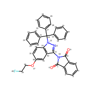 O=C1c2ccccc2C(=O)N1c1nn(C(c2ccccc2)(c2ccccc2)c2ccccc2)c2ccc(OCCF)cc12